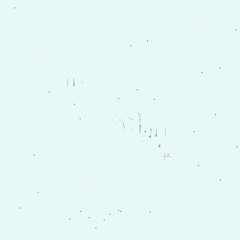 CCCCCCCCOc1ccc(NC(=O)[C@@H](N)CC(=O)O)cc1